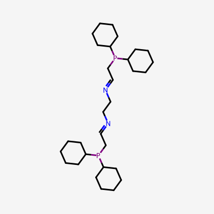 C(/CP(C1CCCCC1)C1CCCCC1)=N\CC/N=C/CP(C1CCCCC1)C1CCCCC1